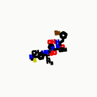 Cc1ncsc1-c1ccc([C@H](C)NC(=O)[C@@H]2C[C@@H](O)CN2C(=O)[C@@H](NC(=O)CCc2cccc(Br)c2)C(C)(C)C)cc1